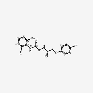 O=C(COc1ccc(F)cc1)NCC(=O)Nc1c(F)cccc1F